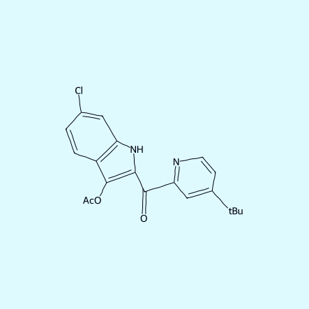 CC(=O)Oc1c(C(=O)c2cc(C(C)(C)C)ccn2)[nH]c2cc(Cl)ccc12